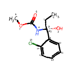 CC[C@](O)(NC(=O)OC)c1ccccc1Cl